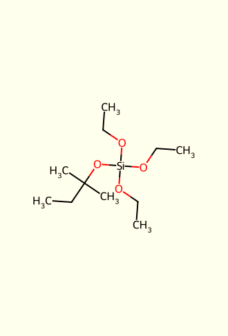 CCO[Si](OCC)(OCC)OC(C)(C)CC